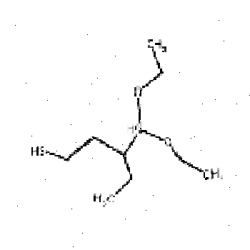 CCO[SiH](OCC)C(CC)CCS